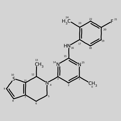 Cc1cc(N2CCc3ccsc3C2C)nc(Nc2ccc(F)cc2C)n1